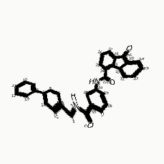 O=C(NCc1ccc(-c2ccccc2)cc1)c1cccc(NC(=O)c2cccc3c2-c2ccccc2C3=O)c1